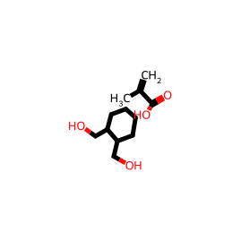 C=C(C)C(=O)O.OCC1CCCCC1CO